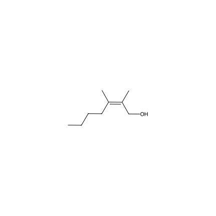 CCCC/C(C)=C(/C)CO